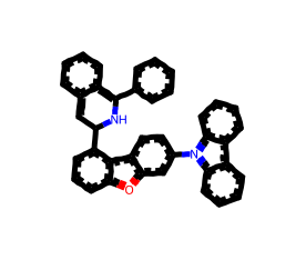 C1=c2ccccc2=C(c2ccccc2)NC1c1cccc2oc3cc(-n4c5ccccc5c5ccccc54)ccc3c12